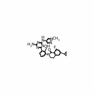 Cn1cc(Nc2nc(N)nc(-c3cccc(N4CCc5cc(C6CC6)cc(F)c5C4=O)c3CO)n2)cn1